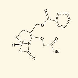 CC(C)(C)C(=O)COC1=C(COC(=O)c2ccccc2)CS[C@H]2CC(=O)N12